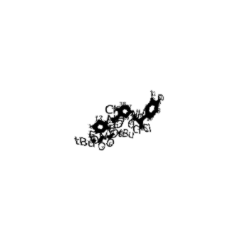 CC(C)(C)OC(=O)N(C(=O)OC(C)(C)C)c1c(F)ccc(NC(=O)c2cc(NC(=O)C3C(c4ccc(F)c(I)c4)C3(Cl)Cl)ccc2Cl)c1F